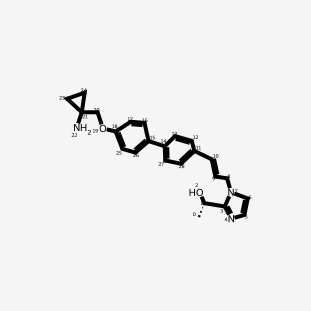 C[C@H](O)c1nccn1C/C=C/c1ccc(-c2ccc(OCC3(N)CC3)cc2)cc1